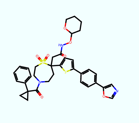 O=C(CC1(c2ccc(-c3ccc(-c4cnco4)cc3)s2)CCN(C(=O)C2(c3ccccc3)CC2)CCS1(=O)=O)NOC1CCCCO1